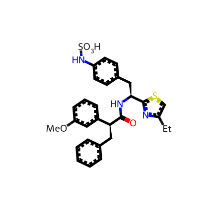 CCc1csc([C@H](Cc2ccc(NS(=O)(=O)O)cc2)NC(=O)[C@@H](Cc2ccccc2)c2cccc(OC)c2)n1